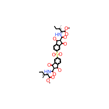 CC[C@H](C)[C@H](NC(=O)C1C(=O)c2ccc(S(=O)(=O)c3ccc4c(c3)C(=O)C(C(=O)N[C@H](C(=O)OC)[C@@H](C)CC)C4=O)cc2C1=O)C(=O)OC